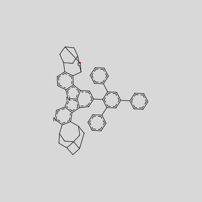 c1ccc(-c2cc(-c3ccccc3)c(-c3cc4c5c6c(ccc5n5c7cnc8c(c7c(c3)c45)C3CC4CC5CC8CC54C3)C3CC4CC(C3)CC6C4)c(-c3ccccc3)c2)cc1